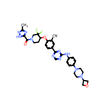 Cc1n[nH]c(C(=O)N2CCC(Oc3ccc(-c4ncnc(Nc5ccc(N6CCN(C7COC7)CC6)cc5)n4)cc3C#N)C(F)(F)C2)n1